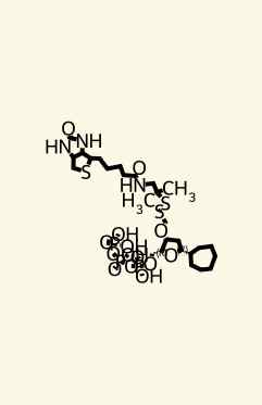 CC(C)(CNC(=O)CCCCC1SCC2NC(=O)NC21)SSCOC1C[C@H](C2CCCCCC2)O[C@@H]1COP(=O)(O)OP(=O)(O)OP(=O)(O)O